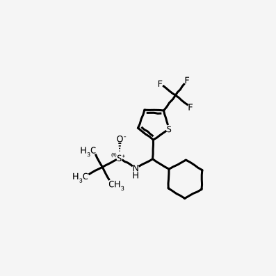 CC(C)(C)[S@+]([O-])NC(c1ccc(C(F)(F)F)s1)C1CCCCC1